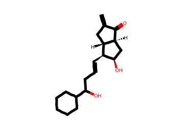 C=C1C[C@H]2[C@H](/C=C/CC(O)C3CCCCC3)[C@H](O)C[C@@H]2C1=O